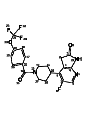 O=C1Cc2c(ncc(F)c2C2CCN(C(=O)c3ccc(OC(F)(F)F)cc3)CC2)N1